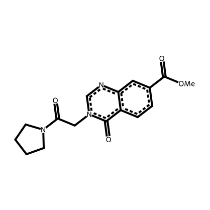 COC(=O)c1ccc2c(=O)n(CC(=O)N3CCCC3)cnc2c1